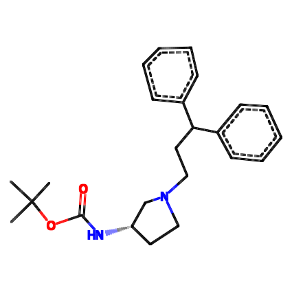 CC(C)(C)OC(=O)N[C@H]1CCN(CCC(c2ccccc2)c2ccccc2)C1